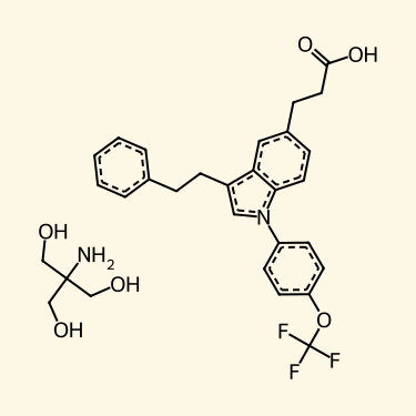 NC(CO)(CO)CO.O=C(O)CCc1ccc2c(c1)c(CCc1ccccc1)cn2-c1ccc(OC(F)(F)F)cc1